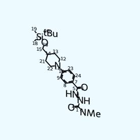 CNC(=O)NNC(=O)c1ccc(N2CCC(CO[Si](C)(C)C(C)(C)C)CC2)cc1